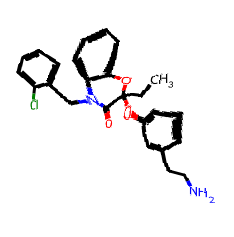 CCC1(Oc2cccc(CCN)c2)Oc2ccccc2N(Cc2ccccc2Cl)C1=O